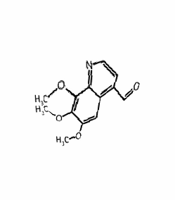 COc1cc2c(C=O)ccnc2c(OC)c1OC